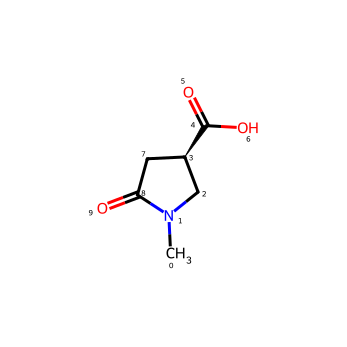 CN1C[C@H](C(=O)O)CC1=O